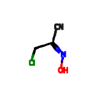 N#CC(CCl)=NO